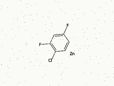 Fc1ccc(Cl)c(F)c1.[Zn]